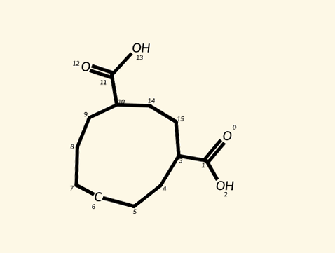 O=C(O)C1CCCCCCC(C(=O)O)CC1